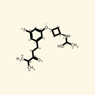 CC(S)N[C@H]1C[C@H](Oc2cc(F)cc(CCC(=O)C(C)C)c2)C1